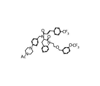 CC(=O)N1CCN(c2ccc(CN(C(=O)C=Cc3ccc(C(F)(F)F)cc3)C(Cc3ccccc3)C(=O)N(C)CCOCc3cccc(OC(F)(F)F)c3)cc2)CC1